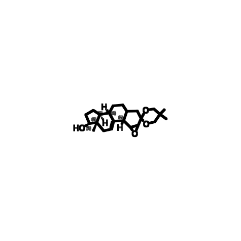 CC1(C)COC2(CC3CC[C@@H]4C(=CC[C@]5(C)[C@@H](O)CC[C@@H]45)[C@H]3C3OC32)OC1